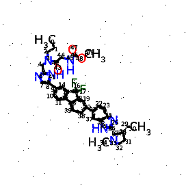 CCCN(Cc1ncc(-c2ccc3c(c2)C(F)(F)c2cc(-c4ccc5nc([C@@H]6[C@H](CC)CCN6C)[nH]c5c4)ccc2-3)[nH]1)C(=O)CNC(=O)OC